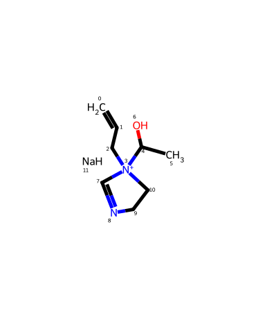 C=CC[N+]1(C(C)O)C=NCC1.[NaH]